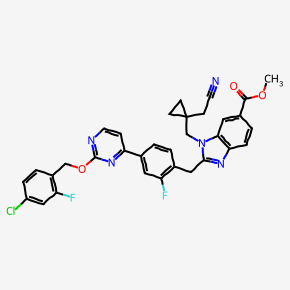 COC(=O)c1ccc2nc(Cc3ccc(-c4ccnc(OCc5ccc(Cl)cc5F)n4)cc3F)n(CC3(CC#N)CC3)c2c1